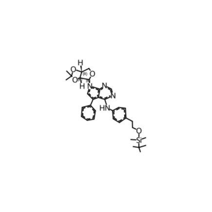 CC1(C)O[C@H]2[C@H](n3cc(-c4ccccc4)c4c(Nc5ccc(CCO[Si](C)(C)C(C)(C)C)cc5)ncnc43)OC[C@H]2O1